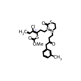 C=C/C(Cl)=C(/CCN1C(=O)SCCN1CCC(=O)Cc1cccc(C)c1)SC(=O)OC